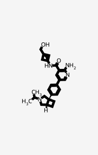 CC(C)N1C[C@H]2CC[C@@]2(c2ccc(-c3cnc(N)c(C(=O)NC45CC(CO)(C4)C5)c3)cc2)C1